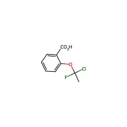 CC(F)(Cl)Oc1ccccc1C(=O)O